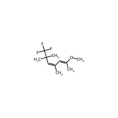 CO/C(C)=C/C(C)=C\C(C)(C)C(F)(F)F